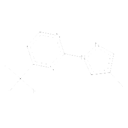 Cc1cnn(-c2nc[c]c(C(F)(F)F)n2)c1